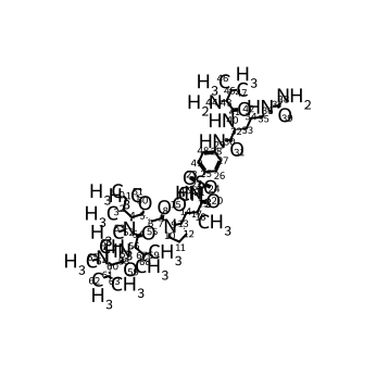 CC[C@@H](C)[C@@H]([C@@H](CC(=O)N1CCC[C@H]1[C@H](OC)[C@@H](C)C(=O)NS(=O)(=O)c1ccc(NC(=O)[C@H](CCCNC(N)=O)NC(=O)[C@@H](N)C(C)C)cc1)OC)N(C)C(=O)[C@@H](NC(=O)[C@H](C(C)C)N(C)C)C(C)C